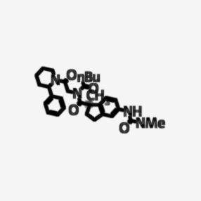 CCCCC(=O)N(CC(=O)N1CCCCC1c1ccccc1)C(=O)[C@]1(C)CCc2cc(NC(=O)NC)ccc21